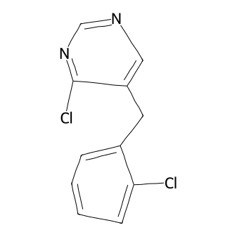 Clc1ccccc1Cc1cncnc1Cl